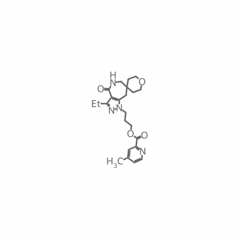 CCc1nn(CCCOC(=O)c2cc(C)ccn2)c2c1C(=O)NCC1(CCOCC1)C2